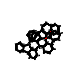 c1ccc(-n2c3ccccc3c3cccc(N(c4cccc5c4oc4ccccc45)c4cccc5c4sc4c6ccccc6ccc54)c32)cc1